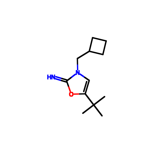 CC(C)(C)c1cn(CC2CCC2)c(=N)o1